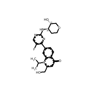 CC(C)n1c(CO)cc(=O)c2ccc(-c3nc(N[C@@H]4CCOC[C@H]4O)ncc3F)cc21